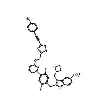 N#Cc1ccc(C#Cc2cnc(COc3cccc(-c4cc(F)c(Cc5nc6ccc(C(=O)O)cc6n5C[C@@H]5CCO5)cc4F)n3)s2)cc1